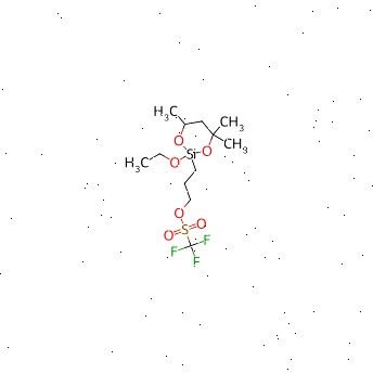 CCO[Si]1(CCCOS(=O)(=O)C(F)(F)F)OC(C)CC(C)(C)O1